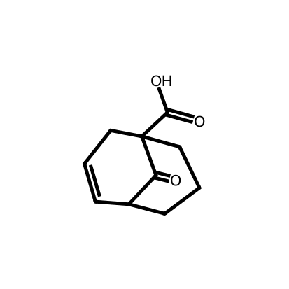 O=C(O)C12CC=CC(CCC1)C2=O